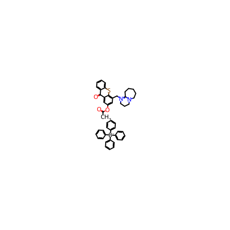 CC(=O)Oc1cc(C[N+]2=C3CCCCCN3CCC2)c2sc3ccccc3c(=O)c2c1.c1ccc([B-](c2ccccc2)(c2ccccc2)c2ccccc2)cc1